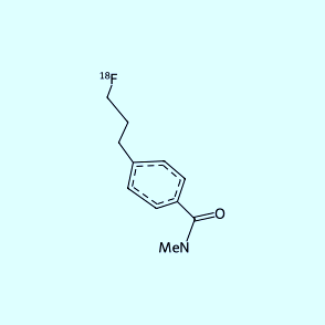 CNC(=O)c1ccc(CCC[18F])cc1